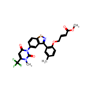 COC(=O)C=CCOc1ccc(C)cc1-c1nsc2ccc(-n3c(=O)cc(C(F)(F)F)n(C)c3=O)cc12